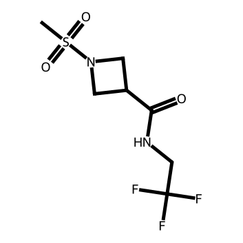 CS(=O)(=O)N1CC(C(=O)NCC(F)(F)F)C1